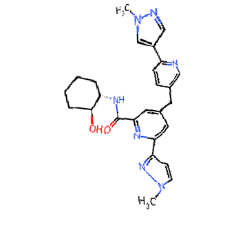 Cn1cc(-c2ccc(Cc3cc(C(=O)N[C@H]4CCCC[C@@H]4O)nc(-c4ccn(C)n4)c3)cn2)cn1